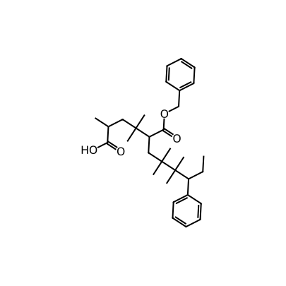 CCC(c1ccccc1)C(C)(C)C(C)(C)CC(C(=O)OCc1ccccc1)C(C)(C)CC(C)C(=O)O